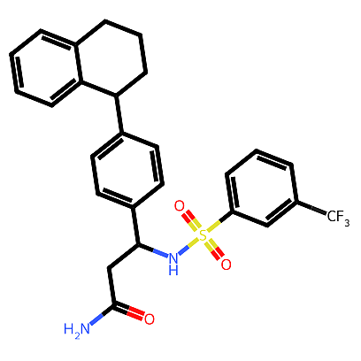 NC(=O)CC(NS(=O)(=O)c1cccc(C(F)(F)F)c1)c1ccc(C2CCCc3ccccc32)cc1